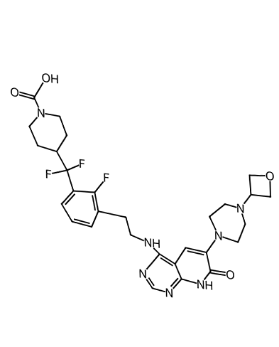 O=C(O)N1CCC(C(F)(F)c2cccc(CCNc3ncnc4[nH]c(=O)c(N5CCN(C6COC6)CC5)cc34)c2F)CC1